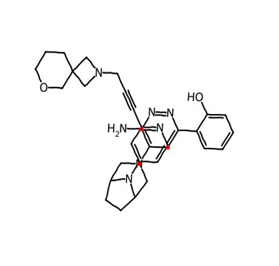 Nc1nnc(-c2ccccc2O)cc1N1CC2CCC(C1)N2c1ccnc(C#CCN2CC3(CCCOC3)C2)c1